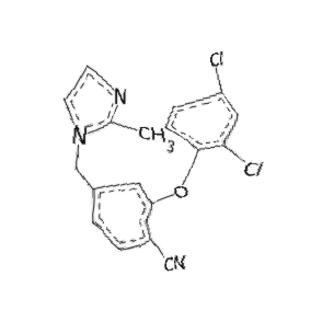 Cc1nccn1Cc1ccc(C#N)c(Oc2ccc(Cl)cc2Cl)c1